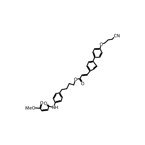 COC(=O)/C=C\C(=O)Nc1ccc(CCCCOC(=O)/C=C/c2ccc(-c3ccc(OCCCC#N)cc3)cc2)cc1